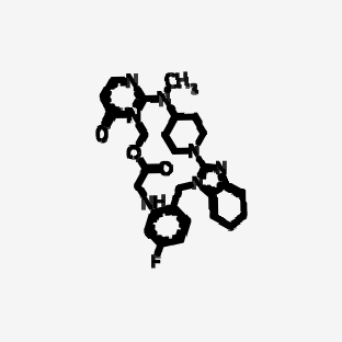 CN(c1nccc(=O)n1COC(=O)CN)C1CCN(c2nc3c(n2Cc2ccc(F)cc2)=CCCC=3)CC1